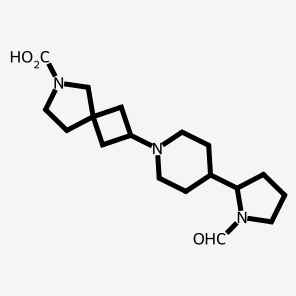 O=CN1CCCC1C1CCN(C2CC3(CCN(C(=O)O)C3)C2)CC1